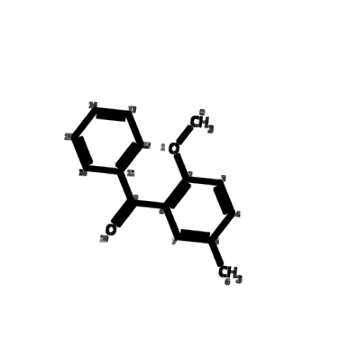 COc1ccc(C)cc1C(=O)c1ccccc1